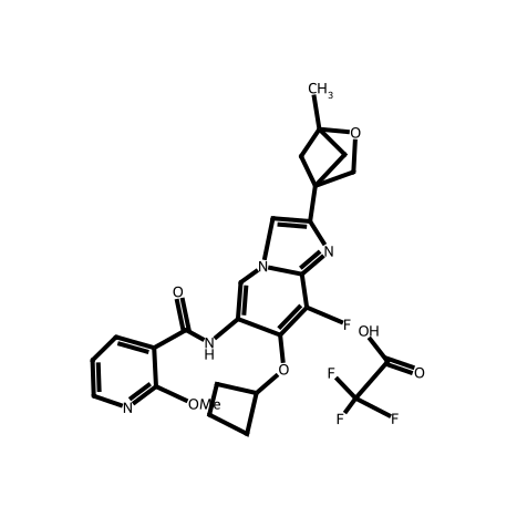 COc1ncccc1C(=O)Nc1cn2cc(C34COC(C)(C3)C4)nc2c(F)c1OC1CCC1.O=C(O)C(F)(F)F